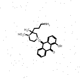 CC1(CCCN)COCCN1C(=O)O.O=C1c2ccccc2C(=O)c2c(O)cccc21